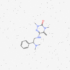 C=C1C(NCC(c2ccccc2)N(C)C)=NN(C)C(=O)N1C